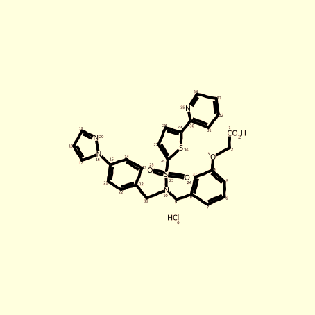 Cl.O=C(O)COc1cccc(CN(Cc2ccc(-n3cccn3)cc2)S(=O)(=O)c2ccc(-c3ccccn3)s2)c1